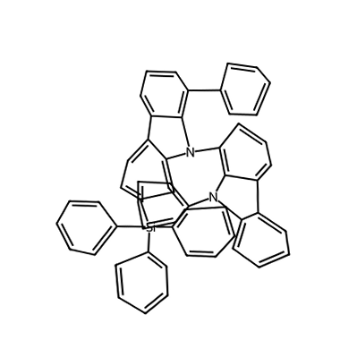 c1ccc(-c2cccc3c4ccc([Si](c5ccccc5)(c5ccccc5)c5ccccc5)cc4n(-c4cccc5c6ccccc6n(-c6ccccc6)c45)c23)cc1